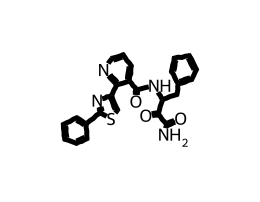 NC(=O)C(=O)C(Cc1ccccc1)NC(=O)c1cccnc1-c1csc(-c2ccccc2)n1